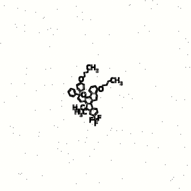 CCCCOc1ccc(C2(c3ccccc3)C=Cc3c4c(c5ccc6c(OCCCC)cccc6c5c3O2)-c2ccc(C(F)(F)F)cc2C4(C)C)cc1